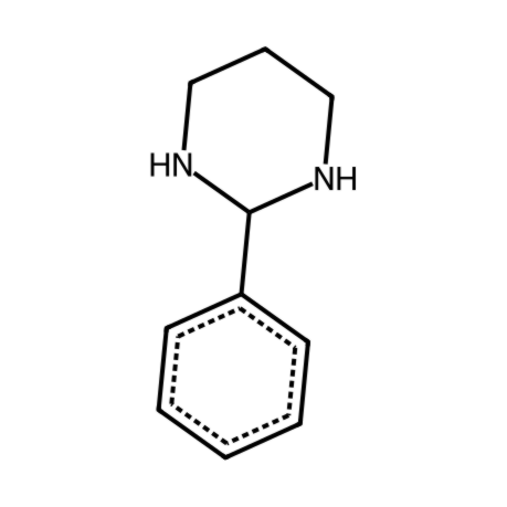 c1ccc(C2NCCCN2)cc1